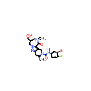 C[C@@H]1Cc2nn3c(c2CN1C(=O)Nc1ccc(F)c(Br)c1)C(=O)N(C)CC(CO)C3